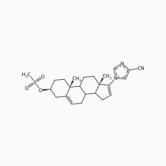 C[C@]12CC[C@H](OS(C)(=O)=O)CC1=CCC1C2CC[C@]2(C)C(n3cnc(C#N)c3)=CCC12